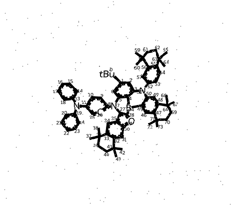 CC(C)(C)c1cc2c3c(c1)N(c1ccc(N(c4ccccc4)c4ccccc4)cc1)c1c(oc4cc5c(cc14)C(C)(C)CCC5(C)C)B3c1cc3c(cc1N2c1ccc2c(c1)C(C)(C)CCC2(C)C)C(C)(C)CCC3(C)C